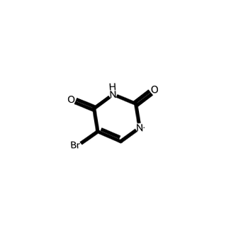 O=C1[N]C=C(Br)C(=O)N1